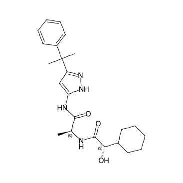 C[C@H](NC(=O)[C@@H](O)C1CCCCC1)C(=O)Nc1cc(C(C)(C)c2ccccc2)n[nH]1